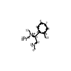 CN=C/C(c1ccccc1C)=[N+](/C)C(C)C